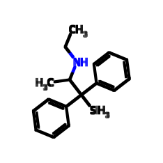 CCNC(C)C([SiH3])(c1ccccc1)c1ccccc1